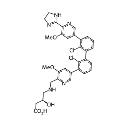 COc1cc(-c2cccc(-c3cccc(-c4cnc(C5=NCCN5)c(OC)c4)c3Cl)c2Cl)cnc1CNC[C@@H](O)CC(=O)O